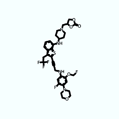 O=C1OCC(CN2CCC(Nc3cccc4c(CC(F)(F)F)c(C#CCNc5cc(F)c(N6CCOCC6)cc5OCF)sc34)CC2)O1